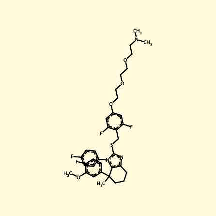 COc1cc(C2(C)CCCc3nc(SCc4c(F)cc(OCCOCCOCCN(C)C)cc4F)n(-c4ccc(F)cc4)c32)ccc1F